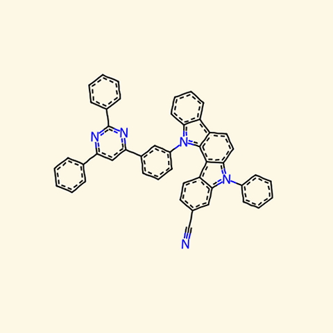 N#Cc1ccc2c3c(ccc4c5ccccc5n(-c5cccc(-c6cc(-c7ccccc7)nc(-c7ccccc7)n6)c5)c43)n(-c3ccccc3)c2c1